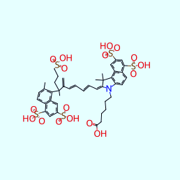 C=C(/C=C/C=C/C=C1/N(CCCCCC(=O)O)c2ccc3c(S(=O)(=O)O)cc(S(=O)(=O)O)cc3c2C1(C)C)C(C)(CCCS(=O)(=O)O)c1c(C)ccc2c(S(=O)(=O)O)cc(S(=O)(=O)O)cc12